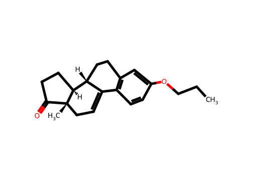 CCCOc1ccc2c(c1)CC[C@@H]1C2=CC[C@]2(C)C(=O)CC[C@@H]12